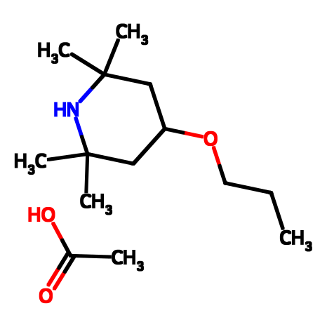 CC(=O)O.CCCOC1CC(C)(C)NC(C)(C)C1